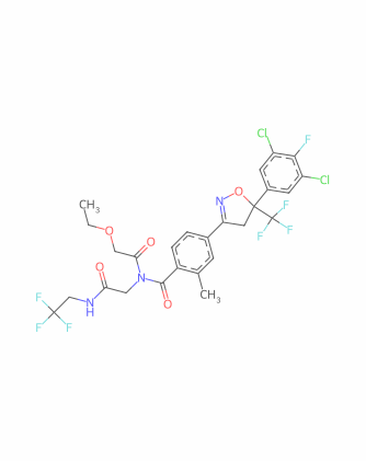 CCOCC(=O)N(CC(=O)NCC(F)(F)F)C(=O)c1ccc(C2=NOC(c3cc(Cl)c(F)c(Cl)c3)(C(F)(F)F)C2)cc1C